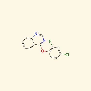 Fc1cc(Cl)ccc1Oc1ncnc2ccccc12